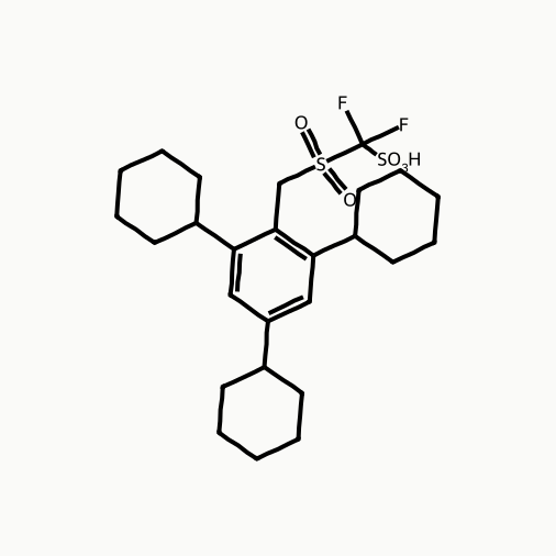 O=S(=O)(O)C(F)(F)S(=O)(=O)Cc1c(C2CCCCC2)cc(C2CCCCC2)cc1C1CCCCC1